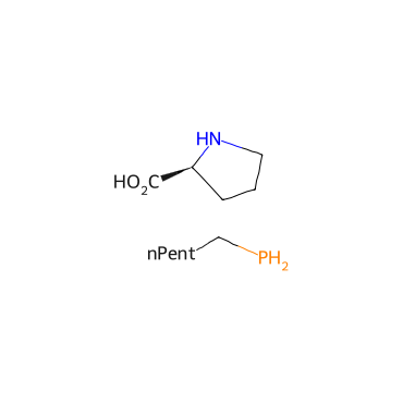 CCCCCCP.O=C(O)[C@@H]1CCCN1